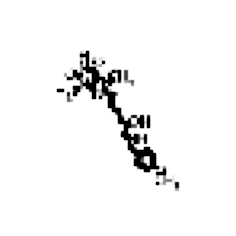 COc1ccc(CNCC(O)CCCCc2nc3c(c(=O)[nH]c(=O)n3C)n2C)cc1